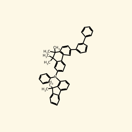 CC1(C)c2ccccc2-c2cccc(N(c3ccccc3)c3ccc4c(c3)C(C)(C)C(C)(C)c3ccc(-c5cccc(-c6ccccc6)c5)cc3-4)c21